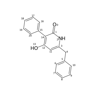 O=c1[nH]c(Cc2ccccc2)cc(O)c1-c1ccccc1